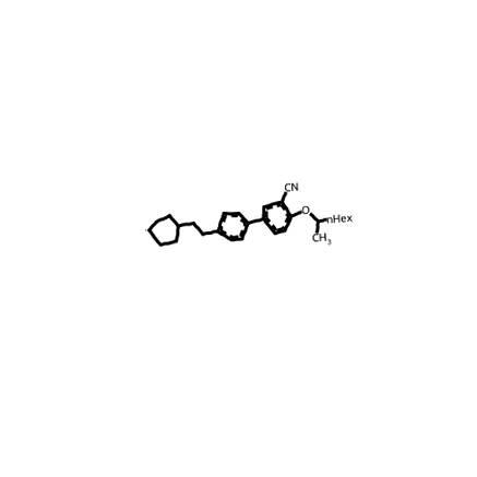 CCCCCCC(C)Oc1ccc(-c2ccc(CCC3CC[CH]CC3)cc2)cc1C#N